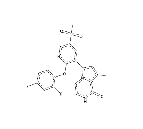 Cc1cc(-c2cc(S(C)(=O)=O)cnc2Oc2ccc(F)cc2F)n2cc[nH]c(=O)c12